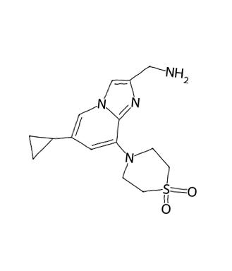 NCc1cn2cc(C3CC3)cc(N3CCS(=O)(=O)CC3)c2n1